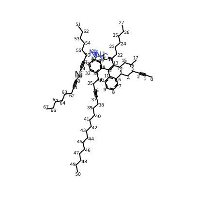 CC#CCCCc1ccccc1C(=C(CCCC)C(=C=[N+]=[N-])CCCCCC)c1ccccc1CCC#CCCCCCCCCCCCCC.CCCCCCC#[C][Ni][C]#CCCCCCC